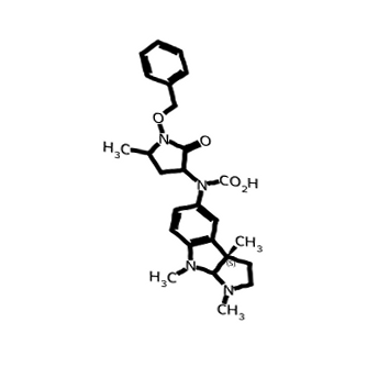 CC1CC(N(C(=O)O)c2ccc3c(c2)[C@]2(C)CCN(C)C2N3C)C(=O)N1OCc1ccccc1